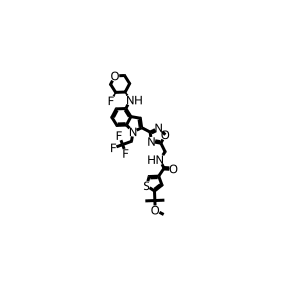 COC(C)(C)c1cc(C(=O)NCc2nc(-c3cc4c(N[C@@H]5CCOC[C@@H]5F)cccc4n3CC(F)(F)F)no2)cs1